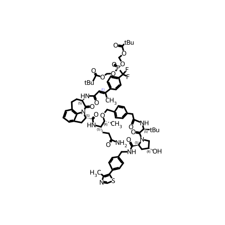 C/C(=C\C(=O)N[C@H]1CCc2cccc3c2N(C1=O)[C@H](C(=O)N[C@@H](CCC(N)=O)[C@@H](C)OCc1ccc(CC(=O)N[C@H](C(=O)N2C[C@H](O)C[C@H]2C(=O)NCc2ccc(-c4scnc4C)cc2)C(C)(C)C)cc1)C3)c1ccc(C(F)(F)P(=O)(OCOC(=O)C(C)(C)C)OCOC(=O)C(C)(C)C)cc1